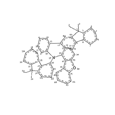 CC1(C)c2ccccc2-c2ccc(-c3ccccc3N(c3cccc4c3-c3ccccc3C4(C)C)c3cccc4oc5ccccc5c34)cc21